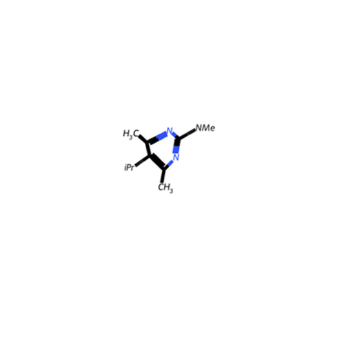 CNc1nc(C)c(C(C)C)c(C)n1